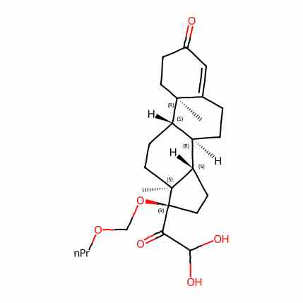 CCCOCO[C@]1(C(=O)C(O)O)CC[C@H]2[C@@H]3CCC4=CC(=O)CC[C@]4(C)[C@H]3CC[C@@]21C